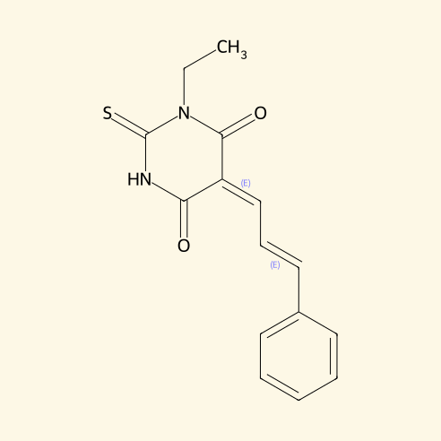 CCN1C(=O)/C(=C/C=C/c2ccccc2)C(=O)NC1=S